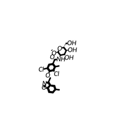 CO[C@H]1O[C@H](CO)[C@@H](O)[C@H](O)[C@H]1NC(=O)c1cc(Cl)c(OCc2noc3ccc(C)cc23)c(Cl)c1C